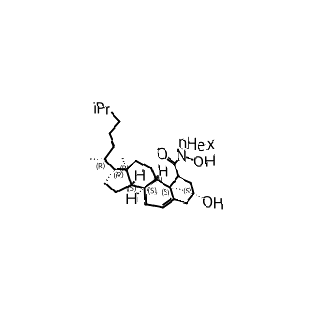 CCCCCCN(O)C(=O)C1C[C@H](O)CC2=CC[C@H]3[C@@H]4CC[C@H]([C@H](C)CCCC(C)C)[C@@]4(C)CC[C@@H]3[C@]21C